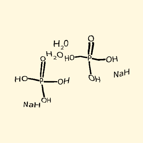 O.O.O=P(O)(O)O.O=P(O)(O)O.[NaH].[NaH]